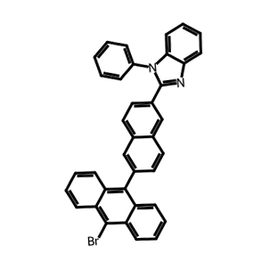 Brc1c2ccccc2c(-c2ccc3cc(-c4nc5ccccc5n4-c4ccccc4)ccc3c2)c2ccccc12